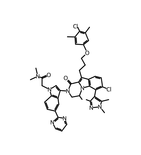 Cc1cc(OCCCc2c3n(c4c(-c5c(C)nn(C)c5C)c(Cl)ccc24)C(C)CN(c2cn(CC(=O)N(C)C)c4ccc(-c5ncccn5)cc24)C3=O)cc(C)c1Cl